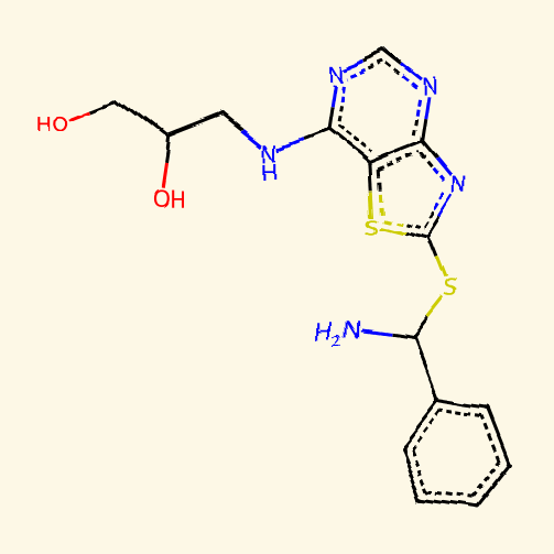 NC(Sc1nc2ncnc(NCC(O)CO)c2s1)c1ccccc1